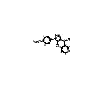 COc1ccc(-n2nnc(C(O)c3cccnc3)c2Cl)cc1